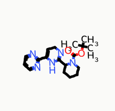 CC(C)(C)OC(=O)N1CCCCC1C1=NCC=C(c2ncccn2)N1